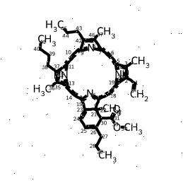 C=Cc1c(C)c2cc3nc(cc4[nH]c(cc5nc(cc1[nH]2)C1(C)C5=CC=C(CCC)C1C(=O)OC)c(C)c4CCCC)C(CCC)=C3C